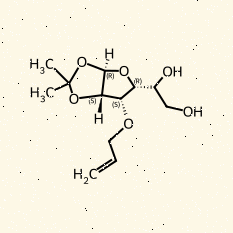 C=CCO[C@@H]1[C@@H]2OC(C)(C)O[C@H]2O[C@@H]1C(O)CO